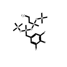 C[Si](C)(C)O[Si](C)(CCC(F)(F)F)O[Si](C)(Cc1cc(F)c(F)c(F)c1)O[Si](C)(C)C